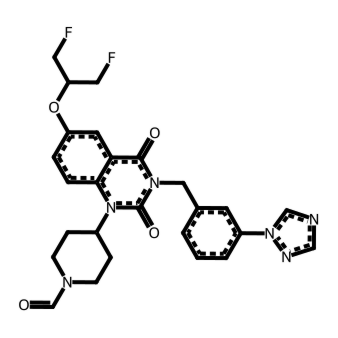 O=CN1CCC(n2c(=O)n(Cc3cccc(-n4cncn4)c3)c(=O)c3cc(OC(CF)CF)ccc32)CC1